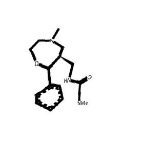 CNC(=O)NC[C@@H]1CN(C)CCOC1c1ccccc1